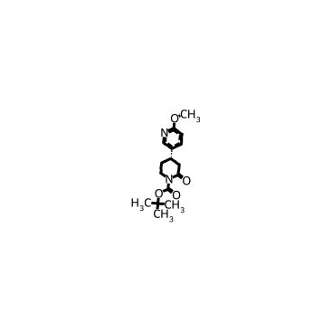 COc1ccc([C@H]2CCN(C(=O)OC(C)(C)C)C(=O)C2)cn1